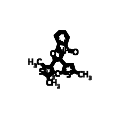 Cc1cc(-c2oc3c(c2-c2cc(C)sc2C)[PH](=O)c2ccccc2-3)c(C)s1